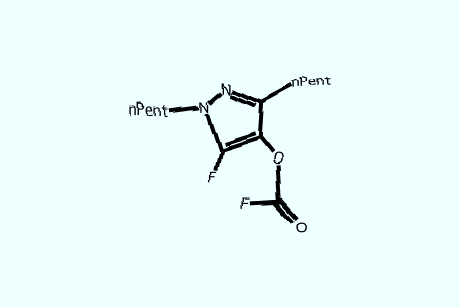 CCCCCc1nn(CCCCC)c(F)c1OC(=O)F